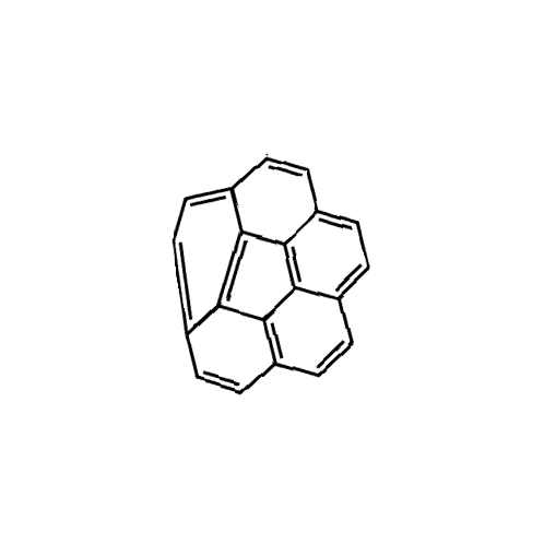 [c]1cc2ccc3ccc4ccc5ccc1c1c2c3c4c51